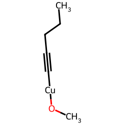 CCCC#[C][Cu][O]C